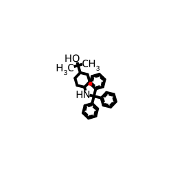 CC(C)(O)C1CCC(NC(c2ccccc2)(c2ccccc2)c2ccccc2)CC1